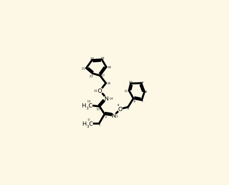 CCC(=NOCc1ccccc1)C(C)=NOCc1ccccc1